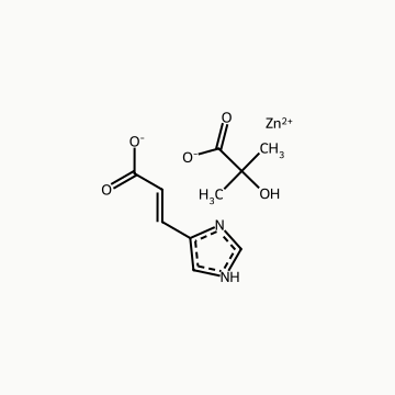 CC(C)(O)C(=O)[O-].O=C([O-])C=Cc1c[nH]cn1.[Zn+2]